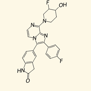 O=C1Cc2cc(-c3c(-c4ccc(F)cc4)nc4c(N5CCC(O)C(F)C5)nccn34)ccc2N1